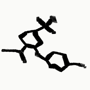 Nc1ccc(Nc2cc(S(=O)(=O)O)ccc2[N+](=O)[O-])cc1